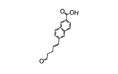 O=CCC/C=C/c1ccc2cc(C(=O)O)ccc2c1